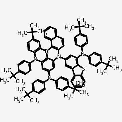 CC(C)(C)c1ccc(N(c2ccc(C(C)(C)C)cc2)c2cc3c4c(c2)N(c2cc(N(c5ccc(C(C)(C)C)cc5)c5ccc(C(C)(C)C)cc5)c5sc6ccccc6c5c2)c2ccc5ccccc5c2B4c2cc(C(C)(C)C)ccc2N3c2ccc(C(C)(C)C)cc2)cc1